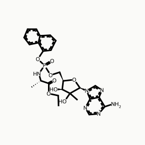 CCOC(=O)[C@H](C)NP(=O)(OC[C@H]1O[C@@H](n2cnc3c(N)ncnc32)C(C)(O)[C@H]1O)Oc1cccc2ccccc12